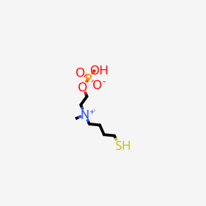 C[N+](C)(CCCCS)CCOP(=O)([O-])O